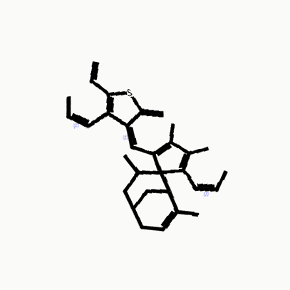 C=Cc1sc(=C)/c(=C\C2=C(C)C(C)=C(/C=C\C)C23C(C)CC2CC=C(C)C3C2)c1/C=C\C